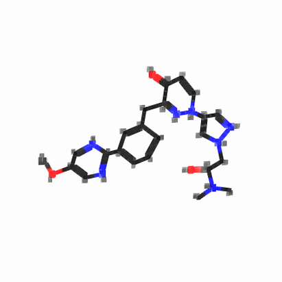 CCOc1cnc(-c2cccc(Cc3nn(-c4cnn(CC(=O)N(C)C)c4)ccc3=O)c2)nc1